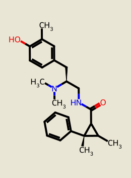 Cc1cc(C[C@@H](CNC(=O)C2C(C)[C@]2(C)c2ccccc2)N(C)C)ccc1O